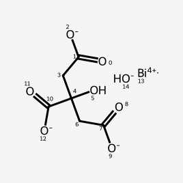 O=C([O-])CC(O)(CC(=O)[O-])C(=O)[O-].[Bi+4].[OH-]